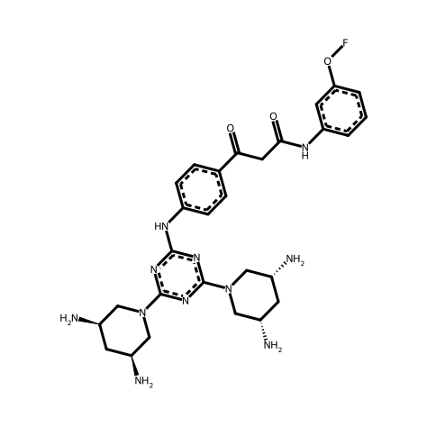 N[C@@H]1C[C@H](N)CN(c2nc(Nc3ccc(C(=O)CC(=O)Nc4cccc(OF)c4)cc3)nc(N3C[C@H](N)C[C@H](N)C3)n2)C1